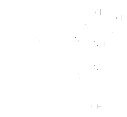 CCCc1nc2c(NC(=O)C(Cl)(Cl)Cl)nc3cc(OCc4ccccc4)ccc3c2s1